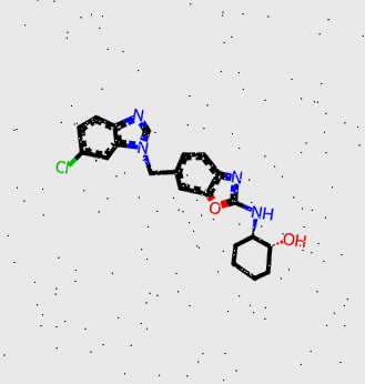 O[C@@H]1CCCC[C@H]1Nc1nc2ccc(Cn3cnc4ccc(Cl)cc43)cc2o1